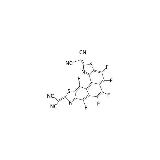 N#CC(C#N)=c1nc2c(F)c3c(F)c(F)c4c(F)c(F)c5sc(=C(C#N)C#N)nc5c4c3c(F)c2s1